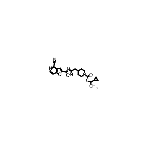 CC(OC(=O)N1CCC(Cc2noc(-c3cc4c(C#N)nccc4o3)n2)CC1)C1CC1